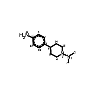 CN(C)N1CCC(c2ccc(N)cc2)CC1